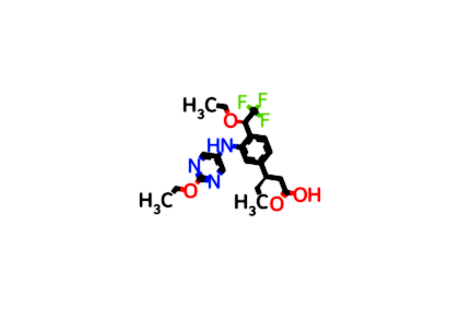 CCOc1ncc(Nc2cc([C@H](CC)CC(=O)O)ccc2[C@@H](OCC)C(F)(F)F)cn1